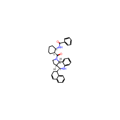 O=C(N[C@@H]1CCCC[C@@H]1C(=O)N1CC[C@@H]2[C@H](C3CC=Cc4ccccc43)Nc3ccccc3[C@@H]21)c1ccccc1